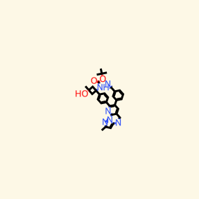 Cc1cc2ncc3cc(-c4cccc(C#N)c4)c(-c4ccc(C5(NC(=O)OC(C)(C)C)CC(C)(O)C5)cc4)nc3n2n1